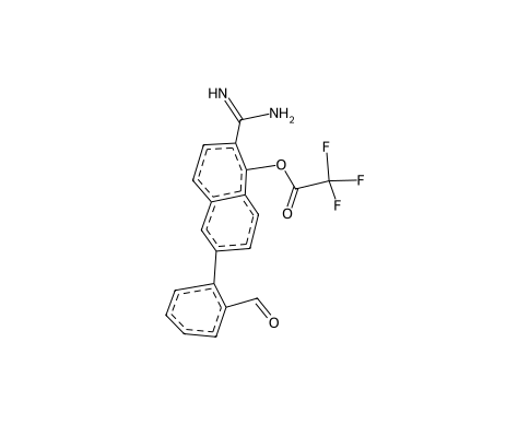 N=C(N)c1ccc2cc(-c3ccccc3C=O)ccc2c1OC(=O)C(F)(F)F